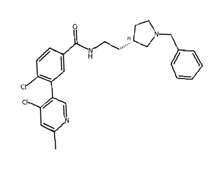 Cc1cc(Cl)c(-c2cc(C(=O)NCC[C@@H]3CCN(Cc4ccccc4)C3)ccc2Cl)cn1